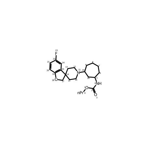 CCCOC(=O)NC1CCCCC(N2CCC3(CC2)COc2ccc(F)cc23)C1